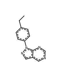 CCc1ccc(-n2ncc3cncnc32)cc1